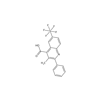 Cc1c(-c2ccccc2)nc2ccc(S(F)(F)(F)(F)F)cc2c1C(=O)O